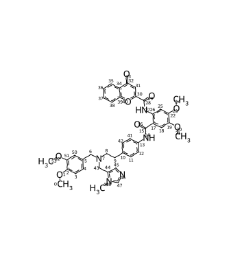 COc1ccc(CN(CCc2ccc(NC(=O)c3cc(OC)c(OC)cc3NC(=O)c3cc(=O)c4ccccc4o3)cc2)Cc2cncn2C)cc1OC